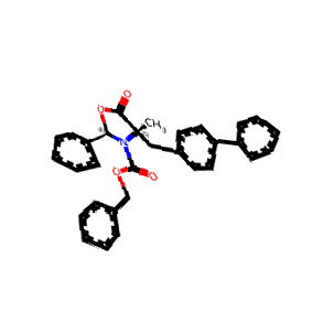 C[C@]1(Cc2ccc(-c3ccccc3)cc2)C(=O)O[C@H](c2ccccc2)N1C(=O)OCc1ccccc1